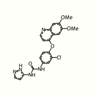 COc1cc2nccc(Oc3ccc(NC(=O)Nc4ccn[nH]4)cc3Cl)c2cc1OC